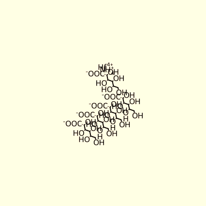 O=C([O-])[C@H](O)[C@@H](O)[C@H](O)[C@H](O)CO.O=C([O-])[C@H](O)[C@@H](O)[C@H](O)[C@H](O)CO.O=C([O-])[C@H](O)[C@@H](O)[C@H](O)[C@H](O)CO.O=C([O-])[C@H](O)[C@@H](O)[C@H](O)[C@H](O)CO.O=C([O-])[C@H](O)[C@@H](O)[C@H](O)[C@H](O)CO.[Hf+4].[NH4+]